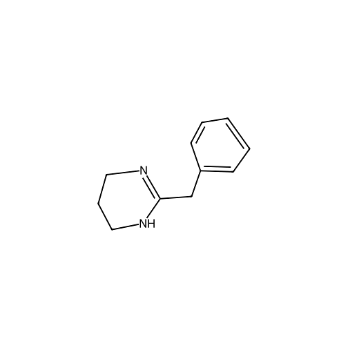 c1ccc(CC2=NCCCN2)cc1